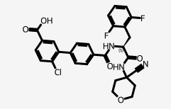 N#CC1(NC(=O)[C@H](Cc2c(F)cccc2F)NC(=O)c2ccc(-c3cc(C(=O)O)ccc3Cl)cc2)CCOCC1